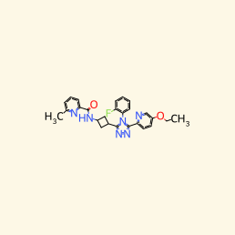 CCOc1ccc(-c2nnc(C3CC(NC(=O)c4cccc(C)n4)C3)n2-c2ccccc2F)nc1